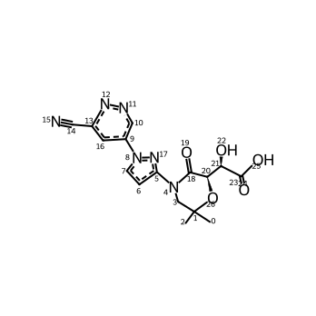 CC1(C)CN(c2ccn(-c3cnnc(C#N)c3)n2)C(=O)[C@@H]([C@@H](O)C(=O)O)O1